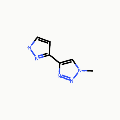 Cn1cc(C2=N[N]C=C2)nn1